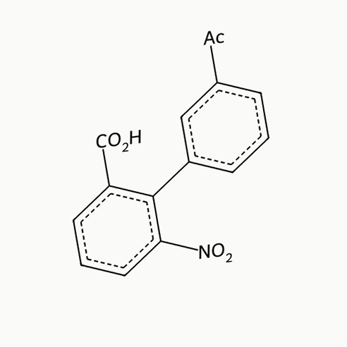 CC(=O)c1cccc(-c2c(C(=O)O)cccc2[N+](=O)[O-])c1